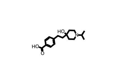 CC(C)N1CCC(O)(CCc2ccc(C(=O)O)cc2)CC1